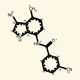 Cc1ccc(NC(=O)c2cccc(C#N)c2)c2[nH]cc(C#N)c12